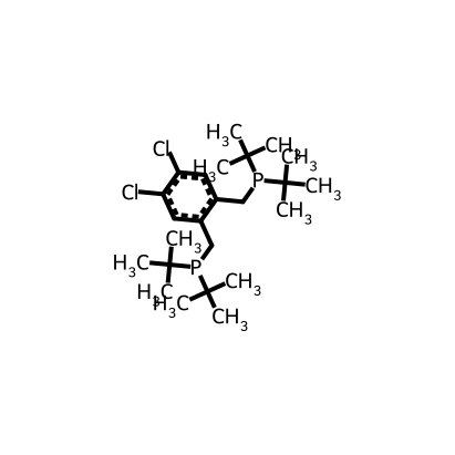 CC(C)(C)P(Cc1cc(Cl)c(Cl)cc1CP(C(C)(C)C)C(C)(C)C)C(C)(C)C